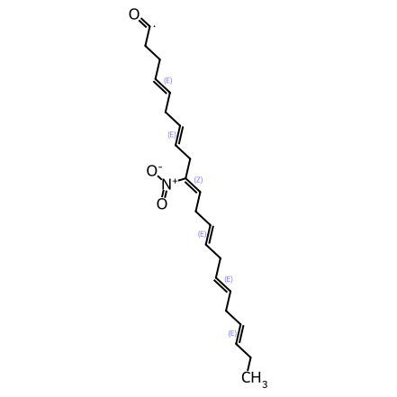 CC/C=C/C/C=C/C/C=C/C/C=C(/C/C=C/C/C=C/CC[C]=O)[N+](=O)[O-]